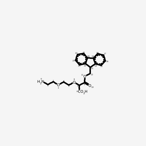 NCCOCCOC(C(=O)O)C(=O)OCC1c2ccccc2-c2ccccc21